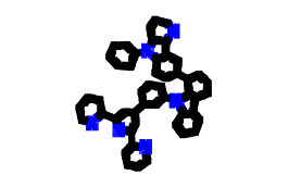 c1ccc(-n2c3ccc(-c4cccc5c6ccccc6n(-c6cccc(-c7cc(-c8ccccn8)nc(-c8ccccn8)c7)c6)c45)cc3c3ncccc32)cc1